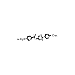 CCCCCCCCCCc1ccc(-c2ncc(OC(=O)c3ccc(CCCCCCC)cc3)cn2)cc1